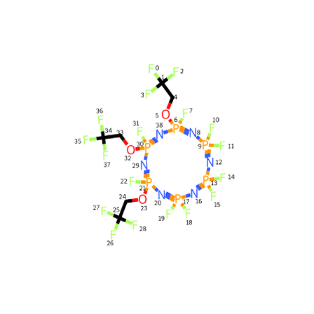 FC(F)(F)COP1(F)=NP(F)(F)=NP(F)(F)=NP(F)(F)=NP(F)(OCC(F)(F)F)=NP(F)(OCC(F)(F)F)=N1